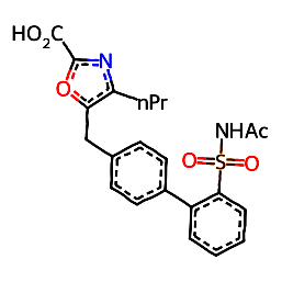 CCCc1nc(C(=O)O)oc1Cc1ccc(-c2ccccc2S(=O)(=O)NC(C)=O)cc1